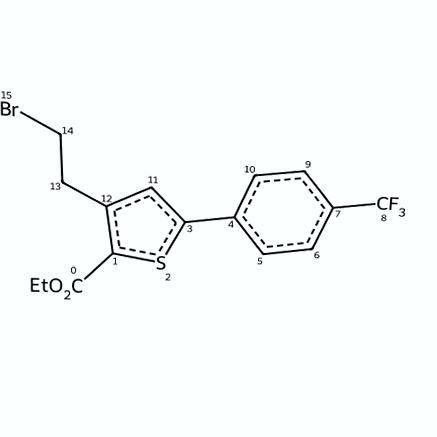 CCOC(=O)c1sc(-c2ccc(C(F)(F)F)cc2)cc1CCBr